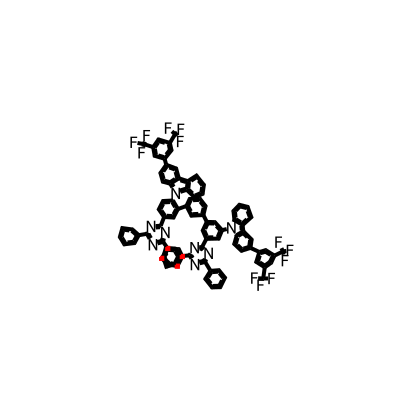 FC(F)(F)c1cc(-c2ccc3c(c2)c2ccccc2n3-c2cc(-c3cccc(-c4cc(-c5nc(-c6ccccc6)nc(-c6ccccc6)n5)ccc4-n4c5ccccc5c5cc(-c6cc(C(F)(F)F)cc(C(F)(F)F)c6)ccc54)c3)cc(-c3nc(-c4ccccc4)nc(-c4ccccc4)n3)c2)cc(C(F)(F)F)c1